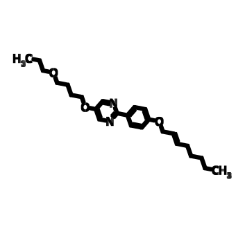 CCCCCC=CCOc1ccc(-c2ncc(OCCCCOCCC)cn2)cc1